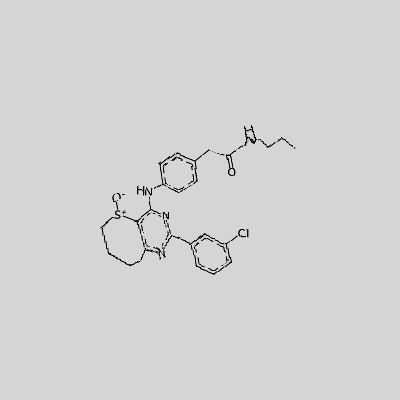 CCCNC(=O)Cc1ccc(Nc2nc(-c3cccc(Cl)c3)nc3c2[S+]([O-])CCC3)cc1